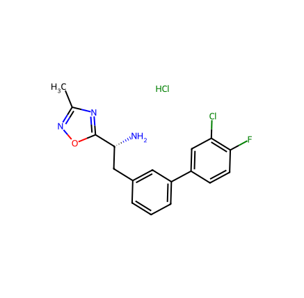 Cc1noc([C@H](N)Cc2cccc(-c3ccc(F)c(Cl)c3)c2)n1.Cl